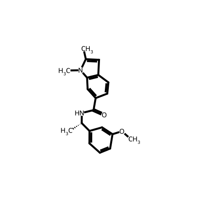 COc1cccc([C@H](C)NC(=O)c2ccc3cc(C)n(C)c3c2)c1